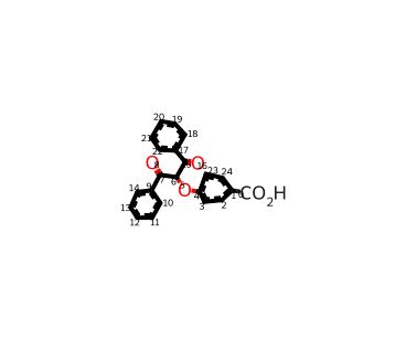 O=C(O)c1ccc(OC(C(=O)c2ccccc2)C(=O)c2ccccc2)cc1